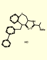 CNC(C)C(=O)NC1CSc2ccccc2N(Cc2cccc(-c3ccccc3)c2)C1=O.Cl